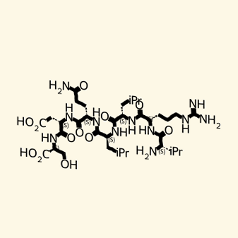 CC(C)C[C@H](NC(=O)[C@H](CC(C)C)NC(=O)[C@H](CCCNC(=N)N)NC(=O)[C@@H](N)C(C)C)C(=O)N[C@@H](CCC(N)=O)C(=O)N[C@@H](CC(=O)O)C(=O)N[C@@H](CO)C(=O)O